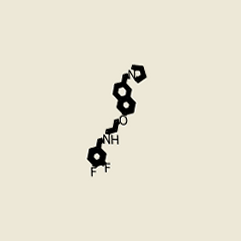 Fc1ccc(CNCCCOc2ccc3c(c2)CCC(CN2CCCC2)C3)cc1F